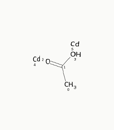 CC(=O)O.[Cd].[Cd]